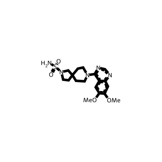 COc1cc2ncnc(N3CCC4(CC3)CCN(S(N)(=O)=O)C4)c2cc1OC